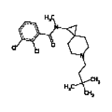 CN(C(=O)c1cccc(Cl)c1Cl)C1CC12CCN(CCC(C)(C)C)CC2